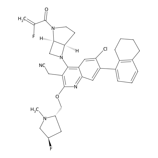 C=C(F)C(=O)N1CC[C@@H]2[C@H]1CN2c1c(CC#N)c(OC[C@@H]2C[C@@H](F)CN2C)nc2cc(-c3cccc4c3CCCC4)c(Cl)cc12